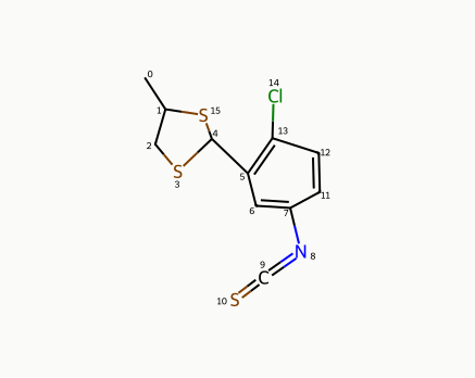 CC1CSC(c2cc(N=C=S)ccc2Cl)S1